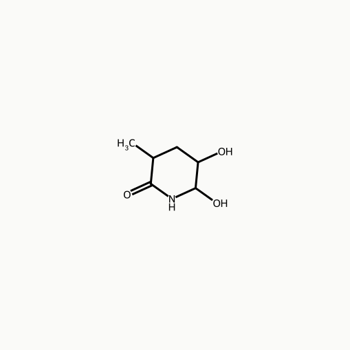 CC1CC(O)C(O)NC1=O